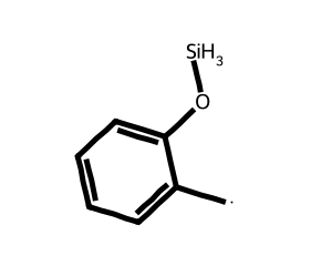 [CH2]c1ccccc1O[SiH3]